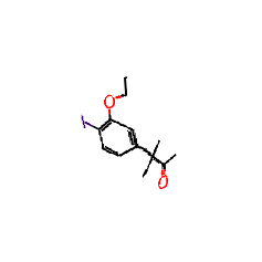 CCOc1cc(C(C)(C)C(C)=O)ccc1I